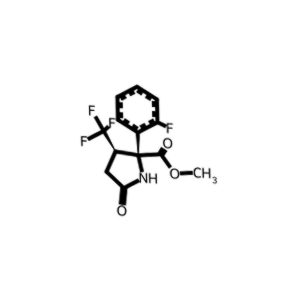 COC(=O)[C@]1(c2ccccc2F)NC(=O)C[C@H]1C(F)(F)F